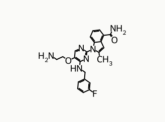 Cc1cc2c(C(N)=O)cccc2n1-c1ncc(OCCN)c(NCc2cccc(F)c2)n1